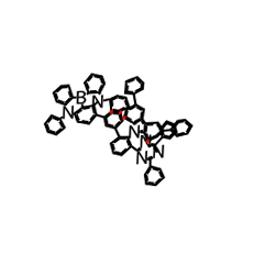 c1ccc(-c2ccc3c(c2)c2cc(-c4ccccc4)ccc2n3-c2c(-c3cccc(-c4ccc5c6c4N(c4ccccc4)c4ccccc4B6c4ccccc4N5c4ccccc4)c3)cccc2-c2nc(-c3ccccc3)nc(-c3ccccc3)n2)cc1